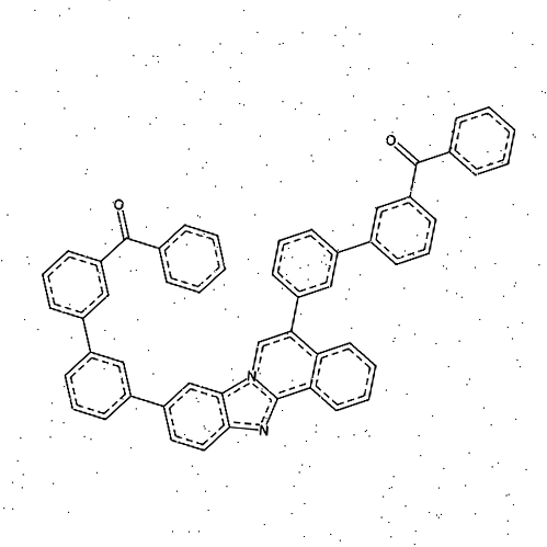 O=C(c1ccccc1)c1cccc(-c2cccc(-c3ccc4nc5c6ccccc6c(-c6cccc(-c7cccc(C(=O)c8ccccc8)c7)c6)cn5c4c3)c2)c1